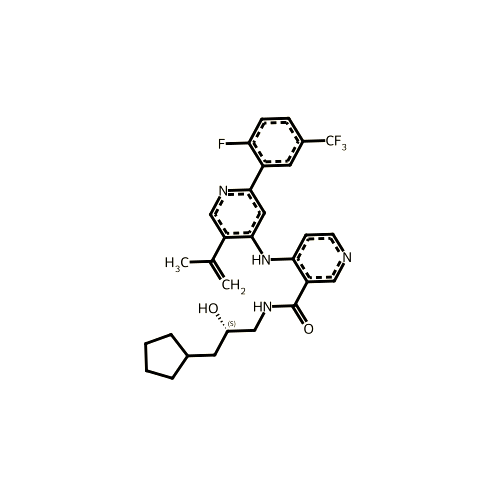 C=C(C)c1cnc(-c2cc(C(F)(F)F)ccc2F)cc1Nc1ccncc1C(=O)NC[C@@H](O)CC1CCCC1